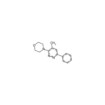 Cc1cc(-c2ccccc2)nnc1N1CCOCC1